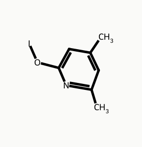 Cc1cc(C)nc(OI)c1